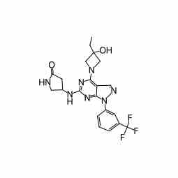 CCC1(O)CN(c2nc(NC3CNC(=O)C3)nc3c2cnn3-c2cccc(C(F)(F)F)c2)C1